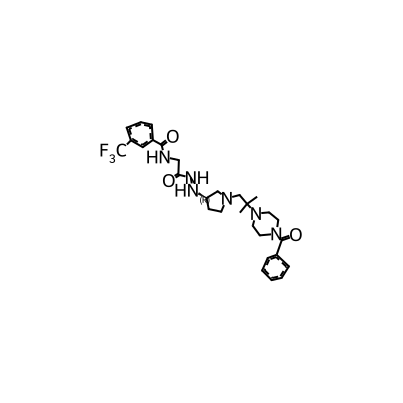 CC(C)(CN1CC[C@@H](NNC(=O)CNC(=O)c2cccc(C(F)(F)F)c2)C1)N1CCN(C(=O)c2ccccc2)CC1